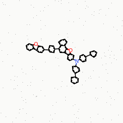 c1ccc(-c2ccc(N(c3ccc(-c4ccccc4)cc3)c3ccc4c(c3)oc3c5ccccc5c(-c5ccc(-c6ccc7c(c6)oc6ccccc67)cc5)cc43)cc2)cc1